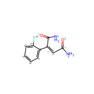 NC(=O)/C=C(\C(N)=O)c1ccccc1F